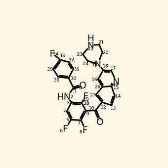 O=C(Nc1cc(F)c(F)c(C(=O)c2ccc3ncc(N4CCNCC4)cc3c2)c1F)c1ccc(F)cc1